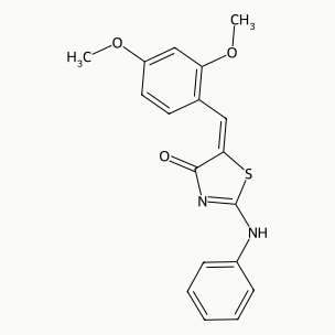 COc1ccc(C=C2SC(Nc3ccccc3)=NC2=O)c(OC)c1